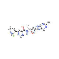 C[C@@H](NC(=O)c1cc(-c2cccnc2F)ncn1)c1cc(-c2nc3cnc(C(C)(C)C)nc3[nH]2)no1